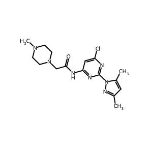 Cc1cc(C)n(-c2nc(Cl)cc(NC(=O)CN3CCN(C)CC3)n2)n1